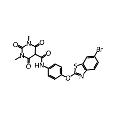 CN1C(=O)C(C(=O)Nc2ccc(Oc3nc4ccc(Br)cc4s3)cc2)C(=O)N(C)C1=O